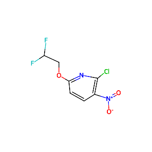 O=[N+]([O-])c1ccc(OCC(F)F)nc1Cl